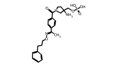 C/C(=N\OCCCc1ccccc1)c1ccc(C(=O)N2CCC(N)(COP(=O)(O)O)C2)cc1